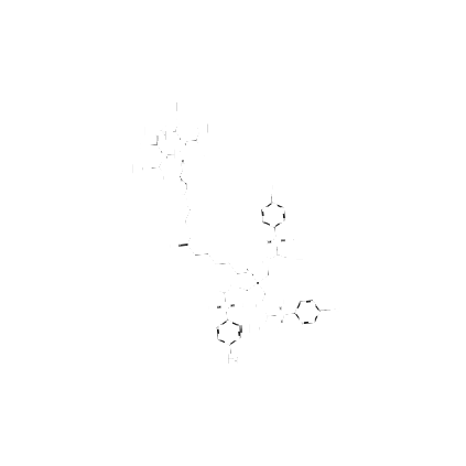 CC(C)N(C(C)C)P(OCCOCCSC(=O)CCCCCNC(COC(C)S(=O)(=O)c1ccc(Br)cc1)(COC(C)S(=O)(=O)c1ccc(Br)cc1)COC(C)S(=O)(=O)c1ccc(Br)cc1)N(C(C)C)C(C)C